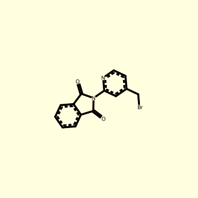 O=C1c2ccccc2C(=O)N1c1cc(CBr)ccn1